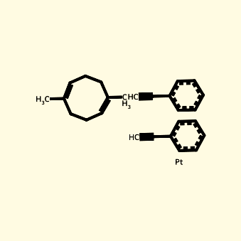 C#Cc1ccccc1.C#Cc1ccccc1.CC1=CCCC(C)=CCC1.[Pt]